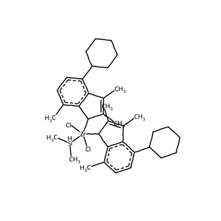 CC1=C(C)[CH]([Zr]([Cl])([Cl])([CH]2C(C)=C(C)c3c(C4CCCCC4)ccc(C)c32)[SiH](C)C)c2c(C)ccc(C3CCCCC3)c21